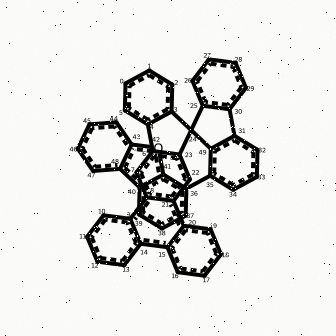 c1ccc2c(c1)-c1cc3c4ccccc4c4ccccc4c3cc1C21c2ccccc2-c2cccc(-c3cccc4c3oc3ccccc34)c21